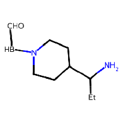 CCC(N)C1CCN(BC=O)CC1